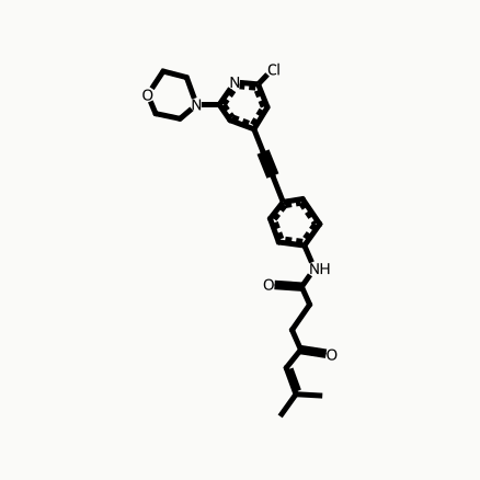 CC(C)=CC(=O)CCC(=O)Nc1ccc(C#Cc2cc(Cl)nc(N3CCOCC3)c2)cc1